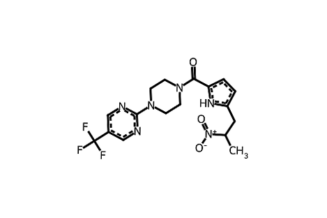 CC(Cc1ccc(C(=O)N2CCN(c3ncc(C(F)(F)F)cn3)CC2)[nH]1)[N+](=O)[O-]